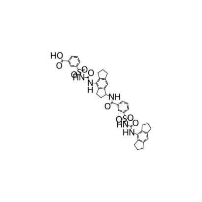 O=C(Nc1c2c(cc3c1CCC3)CCC2)NS(=O)(=O)c1cccc(C(=O)NC2CCc3c2cc2c(c3NC(=O)NS(=O)(=O)c3cccc(C(=O)O)c3)CCC2)c1